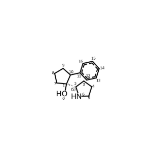 OC1([C@@H]2CCCN2)CCCC1c1ccccc1